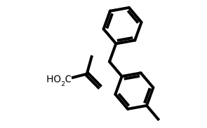 C=C(C)C(=O)O.Cc1ccc(Cc2ccccc2)cc1